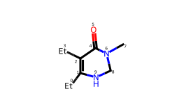 CCC1=C(CC)C(=O)N(C)CN1